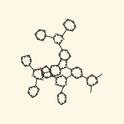 Fc1cc(F)cc(-c2ccc(-n3c4ccc(-c5nc(-c6ccccc6)nc(-c6ccccc6)n5)cc4c4cc(-c5nc(-c6ccccc6)nc(-c6ccccc6)n5)ccc43)c(-c3nc(-c4ccccc4)nc(-c4ccccc4)n3)c2)c1